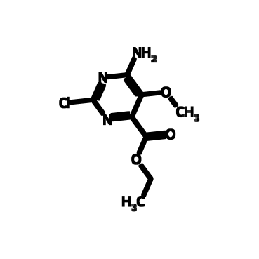 CCOC(=O)c1nc(Cl)nc(N)c1OC